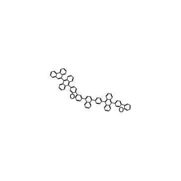 c1ccc2c(c1)cc(-c1c3ccccc3c(-c3ccc4c(c3)oc3ccc(-c5ccc(-c6ccc(-c7c8ccccc8c(-c8ccc9c(c8)oc8ccccc89)c8ccccc78)cc6)c6ccccc56)cc34)c3ccccc13)c1ccccc12